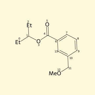 CCC(CC)OC(=O)c1cccc(COC)c1